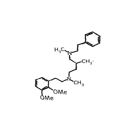 [CH2]C(CCN(C)CCc1cccc(OC)c1OC)CN(C)CCc1ccccc1